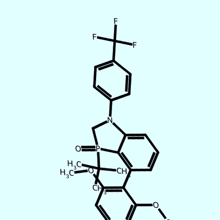 COc1cccc(OC)c1-c1cccc2c1P(=O)(C(C)(C)C)CN2c1ccc(C(F)(F)F)cc1